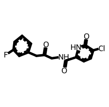 O=C(CNC(=O)c1ccc(Cl)c(=O)[nH]1)Cc1cccc(F)c1